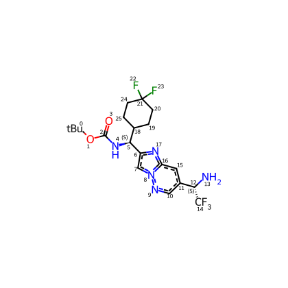 CC(C)(C)OC(=O)N[C@H](c1cn2ncc([C@H](N)C(F)(F)F)cc2n1)C1CCC(F)(F)CC1